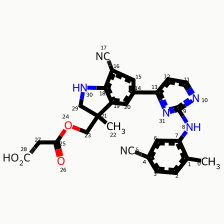 Cc1ccc(C#N)cc1Nc1nccc(-c2cc(C#N)c3c(c2)C(C)(COC(=O)CC(=O)O)CN3)n1